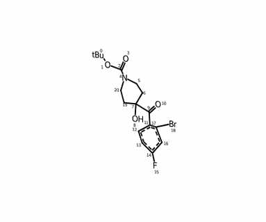 CC(C)(C)OC(=O)N1CCC(O)(C(=O)c2ccc(F)cc2Br)CC1